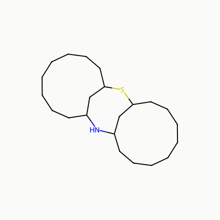 C1CCCCC2CC(CCC1)NC1CCCCCCCCC(C1)S2